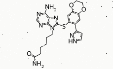 NC(=O)CCCCCn1c(Sc2cc3c(cc2-c2cc[nH]n2)OCCO3)nc2c(N)ncnc21